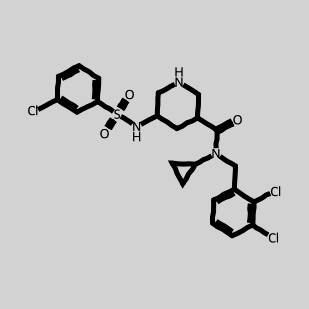 O=C(C1CNCC(NS(=O)(=O)c2cccc(Cl)c2)C1)N(Cc1cccc(Cl)c1Cl)C1CC1